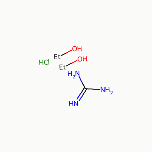 CCO.CCO.Cl.N=C(N)N